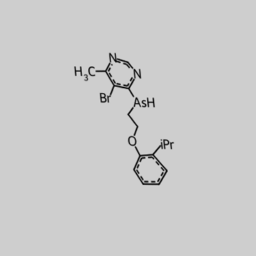 Cc1ncnc([AsH]CCOc2ccccc2C(C)C)c1Br